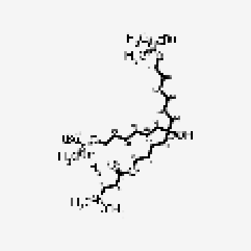 CN(C)CCC(=O)OCCCCC(O)(CCCCCCO[Si](C)(C)C(C)(C)C)CCCCCCO[Si](C)(C)C(C)(C)C